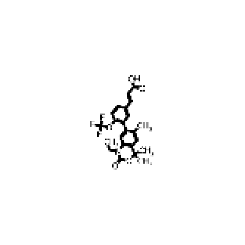 CCN1C(=O)OC(C)(C)c2cc(C)c(-c3cc(/C=C/C(=O)O)ccc3OC(F)(F)F)cc21